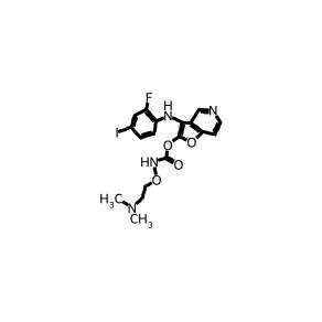 CN(C)CCONC(=O)Oc1oc2ccncc2c1Nc1ccc(I)cc1F